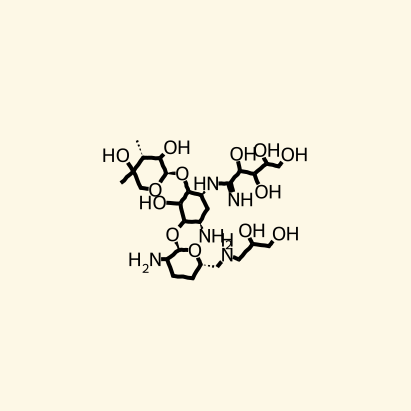 C[C@@H]1C(O)[C@@H](OC2C(O)C(O[C@H]3O[C@H](CNCC(O)CO)CCC3N)[C@@H](N)C[C@H]2NC(=N)C(O)C(O)C(O)CO)OCC1(C)O